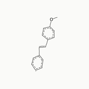 COc1ccc(C=Cc2cc[c]cc2)cc1